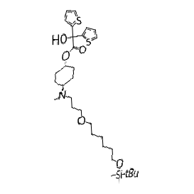 CN(CCCOCCCCCCO[Si](C)(C)C(C)(C)C)[C@H]1CC[C@H](OC(=O)C(O)(c2cccs2)c2cccs2)CC1